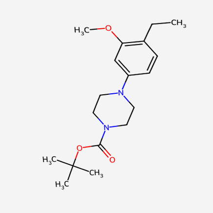 CCc1ccc(N2CCN(C(=O)OC(C)(C)C)CC2)cc1OC